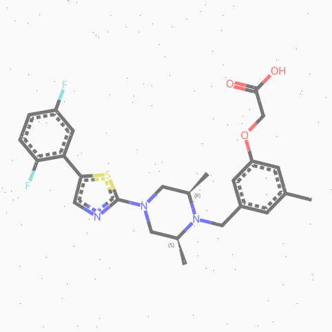 Cc1cc(CN2[C@H](C)CN(c3ncc(-c4cc(F)ccc4F)s3)C[C@@H]2C)cc(OCC(=O)O)c1